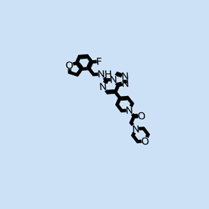 O=C(CN1CCOCC1)N1CC=C(c2cnc(NCc3c(F)ccc4c3CCO4)n3cnnc23)CC1